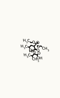 CCOP(=O)(OCC)C(CC(C)C)C(=O)N[C@H](C(=O)O)C(C)C